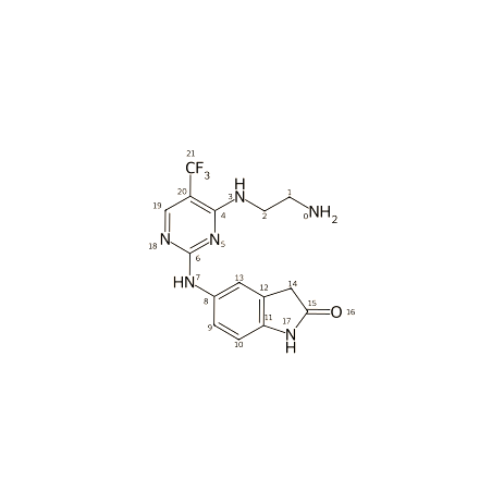 NCCNc1nc(Nc2ccc3c(c2)CC(=O)N3)ncc1C(F)(F)F